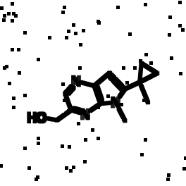 Cn1c(C2(C)CC2)cc2ncc(CO)nc21